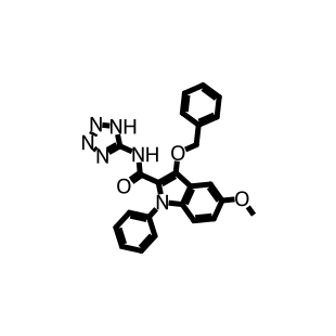 COc1ccc2c(c1)c(OCc1ccccc1)c(C(=O)Nc1nnn[nH]1)n2-c1ccccc1